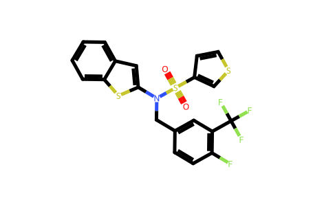 O=S(=O)(c1ccsc1)N(Cc1ccc(F)c(C(F)(F)F)c1)c1cc2ccccc2s1